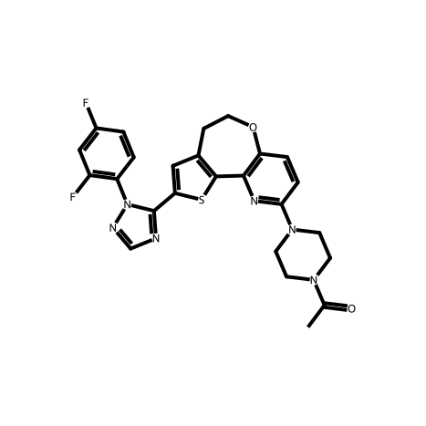 CC(=O)N1CCN(c2ccc3c(n2)-c2sc(-c4ncnn4-c4ccc(F)cc4F)cc2CCO3)CC1